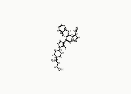 Cc1c(-c2cc(Sc3ncccc3F)c3c(C#N)cnn3c2)cnn1C1CCC(N(C)CCO)CC1